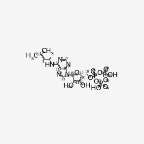 CC(C)=CCNc1ncnc2c1ncn2[C@@H]1O[C@H](COP2(=O)OP(=O)(O)OP(=O)(O)O2)[C@H](O)C1O